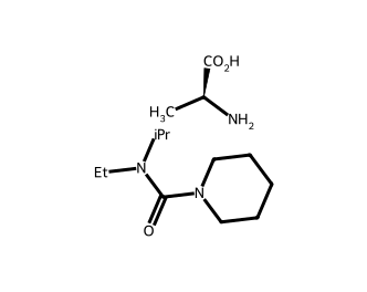 CCN(C(=O)N1CCCCC1)C(C)C.C[C@H](N)C(=O)O